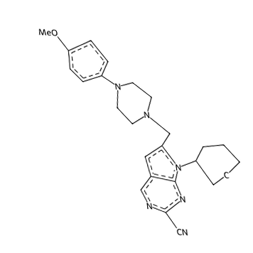 COc1ccc(N2CCN(Cc3cc4cnc(C#N)nc4n3C3CCCCC3)CC2)cc1